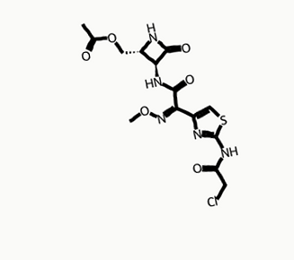 CON=C(C(=O)N[C@@H]1C(=O)N[C@H]1COC(C)=O)c1csc(NC(=O)CCl)n1